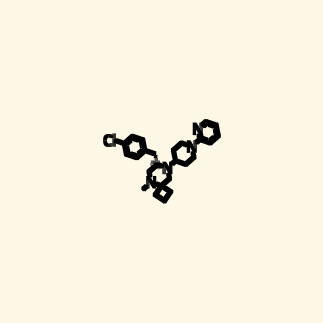 CN1C[C@H](Cc2ccc(Cl)cc2)N(C2CCN(c3ccccn3)CC2)CC12CCC2